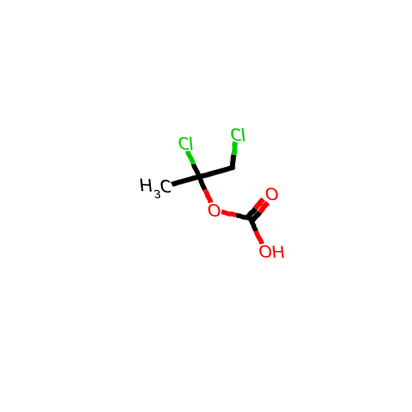 CC(Cl)(CCl)OC(=O)O